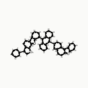 c1ccc(-c2coc3c2ccc2c4cccc(-c5c6ccccc6c(-c6ccc7c(ccc8oc9ccccc9c87)c6)c6ccccc56)c4oc23)cc1